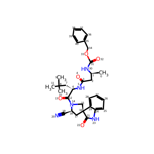 C[C@@H](CC(=O)N[C@@H](CC(C)(C)C)C(=O)N1C[C@]2(C[C@H]1C#N)C(=O)Nc1ccccc12)NC(=O)OCc1ccccc1